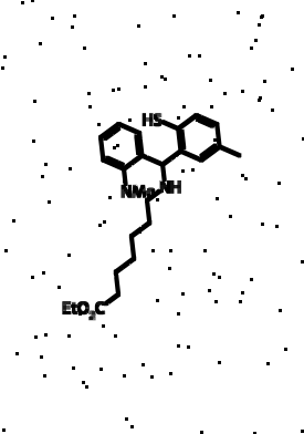 CCOC(=O)CCCCCCNC(c1cc(C)ccc1S)c1ccccc1NC